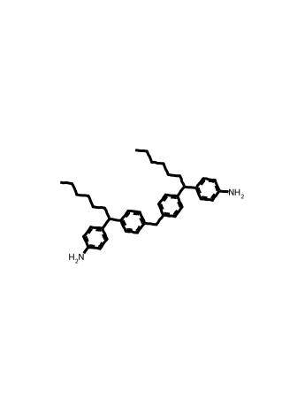 CCCCCCC(c1ccc(N)cc1)c1ccc(Cc2ccc(C(CCCCCC)c3ccc(N)cc3)cc2)cc1